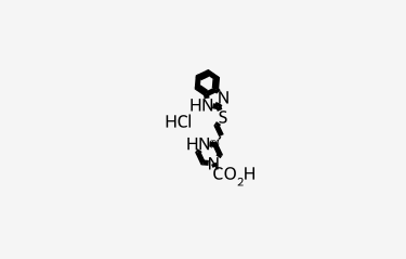 Cl.O=C(O)N1CCN[C@H](CCSc2nc3ccccc3[nH]2)C1